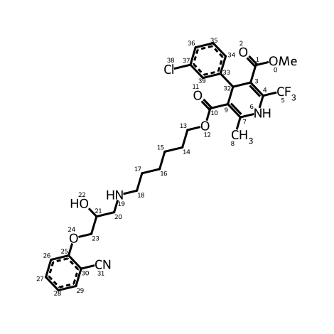 COC(=O)C1=C(C(F)(F)F)NC(C)=C(C(=O)OCCCCCCNCC(O)COc2ccccc2C#N)C1c1cccc(Cl)c1